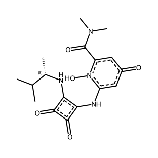 CC(C)[C@H](C)Nc1c(Nc2cc(=O)cc(C(=O)N(C)C)n2O)c(=O)c1=O